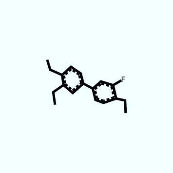 CCc1ccc(-c2ccc(CC)c(CC)c2)cc1F